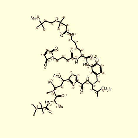 CC[C@H](C)[C@H](NC(=O)C(C)(C)N(C)C)C(=O)N(C)C(C[C@@H](OC(C)=O)c1nc(C(=O)N[C@@H](Cc2ccc(O)c(NC(=O)[C@H](CCCCNC(=O)CC(C)(C)OCCC(C)(C)OC)NC(=O)CCCN3C(=O)C=CC3=O)c2)CC(C)C(=O)O)cs1)C(C)C